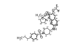 CCCc1ccc(S(=O)(=O)N2CCC(Nc3ncc4cc(OC(F)F)c(=O)n([C@@H]5CCC[C@@]5(C)O)c4n3)CC2)cc1